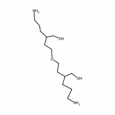 NCCCC(CO)CCOCCC(CO)CCCN